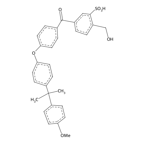 COc1ccc(C(C)(C)c2ccc(Oc3ccc(C(=O)c4ccc(CO)c(S(=O)(=O)O)c4)cc3)cc2)cc1